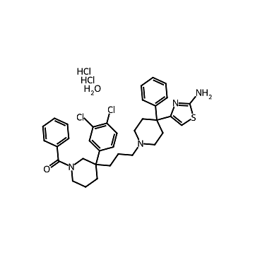 Cl.Cl.Nc1nc(C2(c3ccccc3)CCN(CCCC3(c4ccc(Cl)c(Cl)c4)CCCN(C(=O)c4ccccc4)C3)CC2)cs1.O